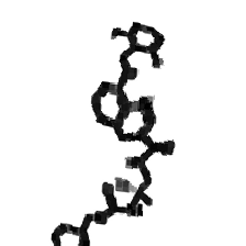 CC[C@@](C)(CNC(=O)c1cnc2c(OCc3c(F)cccc3F)cccc2c1)NC(=O)OCc1ccccc1